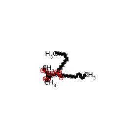 CC/C=C\C/C=C\C/C=C\CCCCCCCC(=O)OC[C@H](CO[C@H]1CC(OC(C)=O)C[C@@H](COC(C)=O)O1)OC(=O)CCCCCCC/C=C\C/C=C\CCCCC